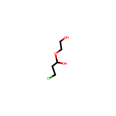 OCCOC(O)CCCl